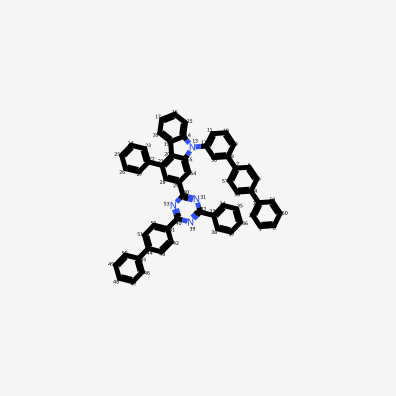 c1ccc(-c2ccc(-c3cccc(-n4c5ccccc5c5c(-c6ccccc6)cc(-c6nc(-c7ccccc7)nc(-c7ccc(-c8ccccc8)cc7)n6)cc54)c3)cc2)cc1